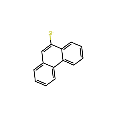 Sc1cc2ccccc2c2ccccc12